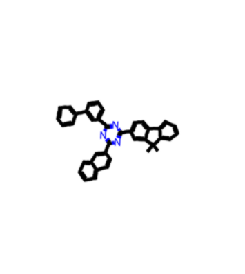 CC1(C)c2ccccc2-c2ccc(-c3nc(-c4cccc(-c5ccccc5)c4)nc(-c4ccc5ccccc5c4)n3)cc21